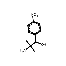 CC(C)(N)C(O)c1ccc([N+](=O)[O-])cc1